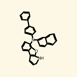 C1=Cc2c(oc3c(N(c4ccc(-c5ccccc5)cc4)c4ccc5ccccc5c4)cccc23)NC1